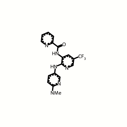 CNc1ccc(Nc2ncc(C(F)(F)F)cc2NC(=O)c2ccccn2)cn1